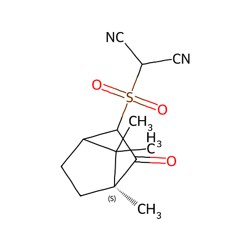 CC1(C)C2CC[C@]1(C)C(=O)C2S(=O)(=O)C(C#N)C#N